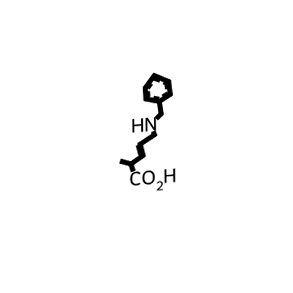 CC(/C=C/CNCc1ccccc1)C(=O)O